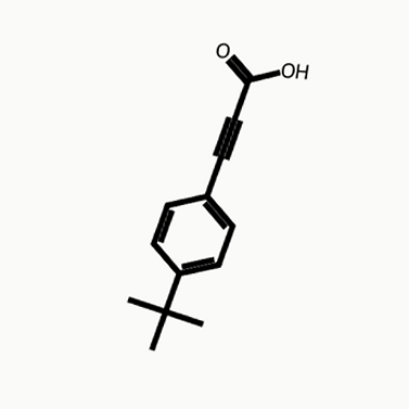 CC(C)(C)c1ccc(C#CC(=O)O)cc1